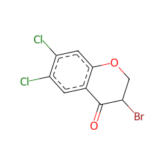 O=C1c2cc(Cl)c(Cl)cc2OCC1Br